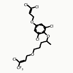 CC(CCCOCC=C(Cl)C(F)(F)F)Oc1c(Cl)cc(OCC=C(Cl)Cl)cc1Cl